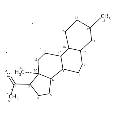 CC(=O)C1CCC2C3CCC4CC(C)CCC4C3CCC12C